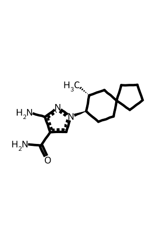 C[C@@H]1CC2(CCCC2)CC[C@H]1n1cc(C(N)=O)c(N)n1